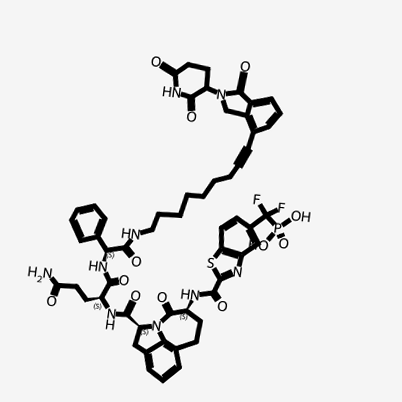 NC(=O)CC[C@H](NC(=O)[C@@H]1Cc2cccc3c2N1C(=O)[C@@H](NC(=O)c1nc2cc(C(F)(F)P(=O)(O)O)ccc2s1)CC3)C(=O)N[C@H](C(=O)NCCCCCCCC#Cc1cccc2c1CN(C1CCC(=O)NC1=O)C2=O)c1ccccc1